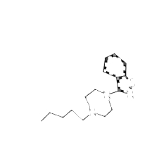 CCCCCN1CCN(c2nsc3ccccc23)CC1